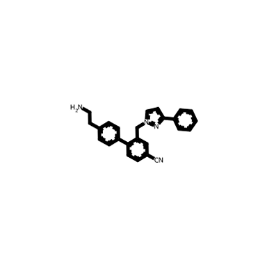 N#Cc1ccc(-c2ccc(CCN)cc2)c(Cn2ccc(-c3ccccc3)n2)c1